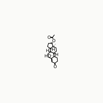 CC(=O)O[C@H]1CC[C@H]2[C@@H]3CCC4=CC(=O)CC[C@]4(CO)[C@H]3CC[C@]12C